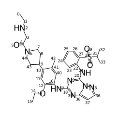 CCNCC(=O)N1CCC(c2cc(OCC)c(Nc3nc(Nc4ccccc4S(=O)(=O)C(C)C)n4nccc4n3)cc2C)CC1